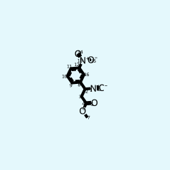 [C-]#[N+]C(CC(=O)OC)c1cccc([N+](=O)[O-])c1